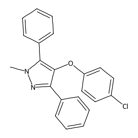 Cn1nc(-c2ccccc2)c(Oc2ccc(Cl)cc2)c1-c1ccccc1